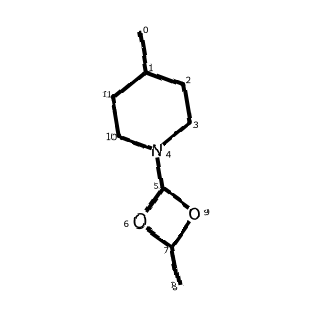 CC1CCN(C2OC(C)O2)CC1